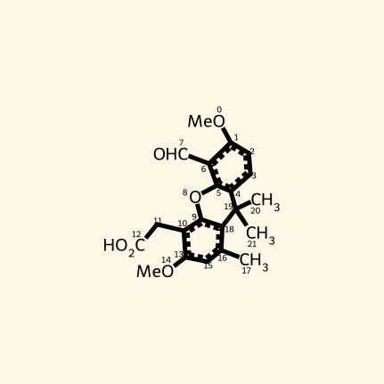 COc1ccc2c(c1C=O)Oc1c(CC(=O)O)c(OC)cc(C)c1C2(C)C